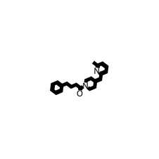 Cc1cccc(C=C2CCN(C(=O)CCCc3ccccc3)CC2)n1